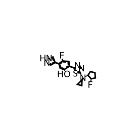 Oc1cc(-c2cn[nH]c2)c(F)cc1-c1nnc(N(C2CC2)[C@H]2CCC[C@H]2F)s1